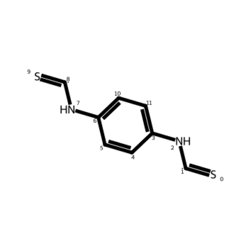 S=[C]Nc1ccc(N[C]=S)cc1